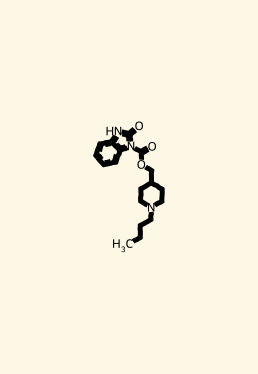 CCCCN1CCC(COC(=O)n2c(=O)[nH]c3ccccc32)CC1